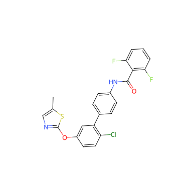 Cc1cnc(Oc2ccc(Cl)c(-c3ccc(NC(=O)c4c(F)cccc4F)cc3)c2)s1